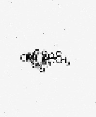 CC1(C)c2ccccc2-c2cc3c(cc21)[nH]c1cc(-c2cccc(-c4nc(Cl)nc(-c5cccc(-n6c7ccccc7c7ccccc76)c5)n4)c2)ccc13